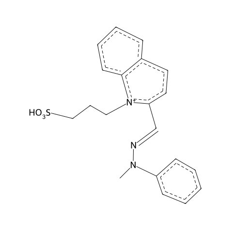 CN(N=Cc1ccc2ccccc2[n+]1CCCS(=O)(=O)O)c1ccccc1